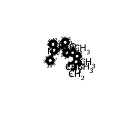 C=C/C=C1\C(=C/C)c2c(ccc3c2-c2ccc4c(c2C3(C)C)c2ccccc2n4-c2cc(-c3ccccc3)nc3ccccc23)C1(C)C